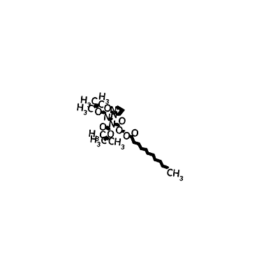 CCCCCCCCCCCC(=O)OCOC(=O)N(C(=O)OC(C)(C)C)/C(=N/C(=O)OC(C)(C)C)n1cccn1